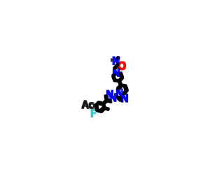 CC(=O)c1cc(-c2cnn(-c3cnc4ccc(C5CCN(CC(=O)N(C)C)CC5)cn34)c2)c(C)cc1F